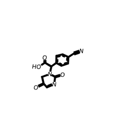 N#Cc1ccc(C(C(=O)O)N2CC(=O)C=NC2=O)cc1